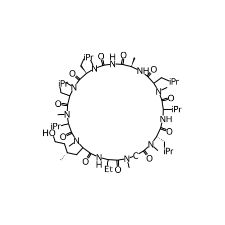 CCC1NC(=O)C(C[C@H](C)CCO)N(C)C(=O)C(C(C)C)N(C)C(=O)C(CC(C)C)N(C)C(=O)[C@@H](CC(C)C)N(C)C(=O)NC(=O)[C@@H](C)NC(=O)C(CC(C)C)N(C)C(=O)C(C(C)C)NC(=O)[C@H](CC(C)C)N(C)C(=O)CN(C)C1=O